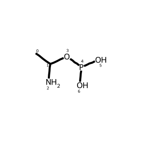 CC(N)OP(O)O